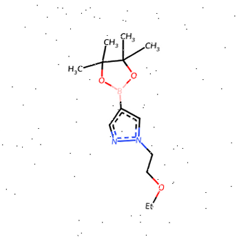 CCOCCn1cc(B2OC(C)(C)C(C)(C)O2)cn1